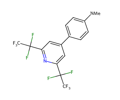 CNc1ccc(-c2cc(C(F)(F)C(F)(F)F)nc(C(F)(F)C(F)(F)F)c2)cc1